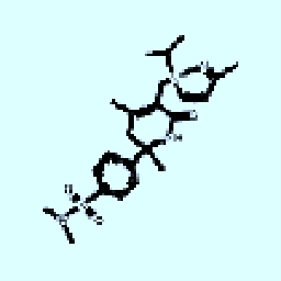 CC1=N[N+](CC2=C(C)CC(C)(c3ccc(S(=O)(=O)N(C)C)cc3)NC2=O)(C(C)C)C=C1